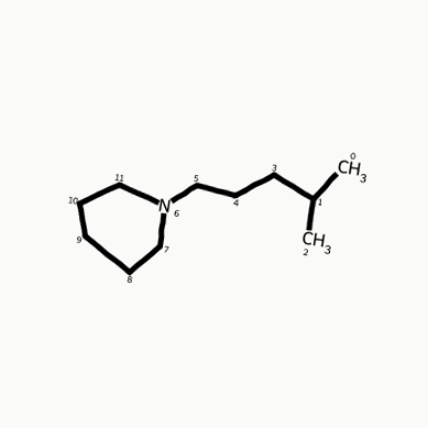 CC(C)CCCN1CCCCC1